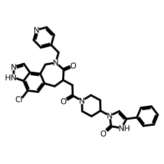 O=C(CC1Cc2cc(Cl)c3[nH]ncc3c2CN(Cc2ccncc2)C1=O)N1CCC(n2cc(-c3ccccc3)[nH]c2=O)CC1